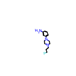 Nc1cccc(N2CCN(CCCF)CC2)c1